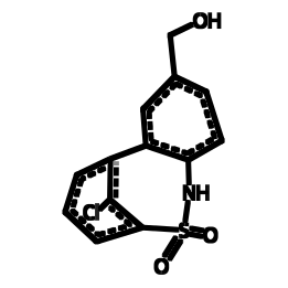 O=S1(=O)Nc2ccc(CO)cc2-c2cccc1c2Cl